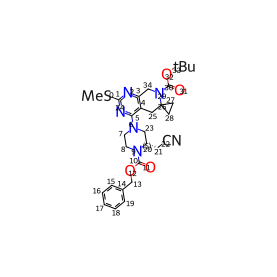 CSc1nc2c(c(N3CCN(C(=O)OCc4ccccc4)[C@@H](CC#N)C3)n1)CC1(CC1)N(C(=O)OC(C)(C)C)C2